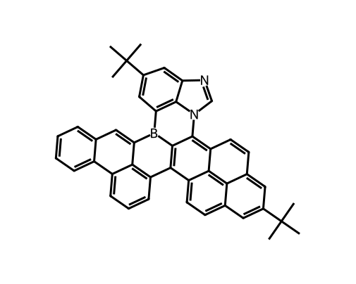 CC(C)(C)c1cc2ccc3c4c5c(c6ccc(c1)c2c36)-n1cnc2cc(C(C)(C)C)cc(c21)B5c1cc2ccccc2c2cccc-4c12